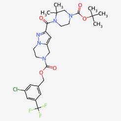 CC(C)(C)OC(=O)N1CCN(C(=O)c2cc3n(n2)CCN(C(=O)OCc2cc(Cl)cc(C(F)(F)F)c2)C3)C(C)(C)C1